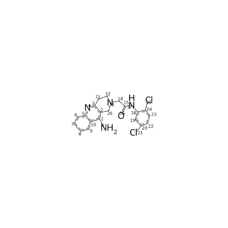 Nc1c2c(nc3ccccc13)CCN(CC(=O)Nc1cc(Cl)ccc1Cl)C2